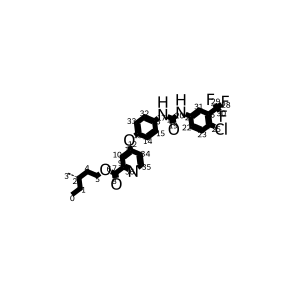 CC[C@H](C)CCOC(=O)c1cc(Oc2ccc(NC(=O)Nc3ccc(Cl)c(C(F)(F)F)c3)cc2)ccn1